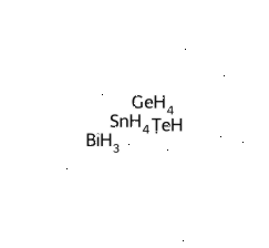 [BiH3].[GeH4].[SnH4].[TeH]